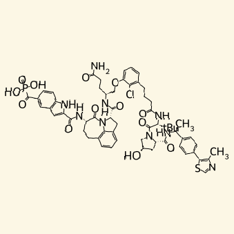 Cc1ncsc1-c1ccc([C@H](C)NC(=O)[C@@H]2C[C@@H](O)CN2C(=O)[C@@H](NC(=O)CCCc2cccc(OC[C@H](CCC(N)=O)NC(=O)[C@@H]3Cc4cccc5c4N3C(=O)[C@@H](NC(=O)c3cc4cc(C(=O)P(=O)(O)O)ccc4[nH]3)CC5)c2Cl)C(C)(C)C)cc1